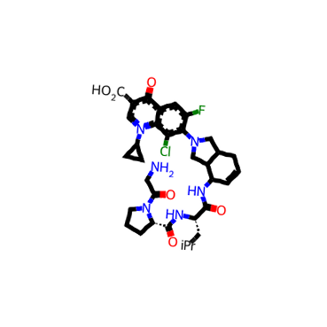 CC(C)C[C@H](NC(=O)[C@@H]1CCCN1C(=O)CN)C(=O)NC1C=CCC2CN(c3c(F)cc4c(=O)c(C(=O)O)cn(C5CC5)c4c3Cl)CC21